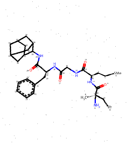 CSCC[C@@H](NC(=O)[C@](C)(N)CC(C)C)C(=O)NCC(=O)N[C@@H](Cc1ccccc1)C(=O)NC1C2CC3CC(C2)CC1C3